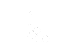 Oc1cccc(F)c1-c1nnc(N[C@H]2CCC[C@H](O)C2)c2cnccc12